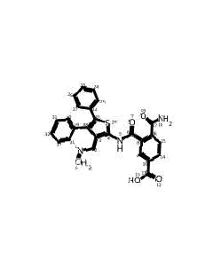 C=NCc1c(NC(=O)c2cc(C(=O)O)ccc2C(N)=O)sc(-c2ccccc2)c1-c1ccccc1